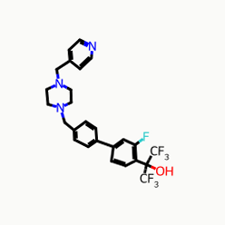 OC(c1ccc(-c2ccc(CN3CCN(Cc4ccncc4)CC3)cc2)cc1F)(C(F)(F)F)C(F)(F)F